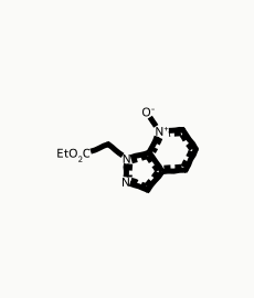 CCOC(=O)Cn1ncc2ccc[n+]([O-])c21